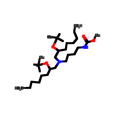 CC(C)(C)OC(=O)NCCCCN(CC(CCCCCC(=O)O)O[Si](C)(C)C(C)(C)C)CC(CCCCCC(=O)O)O[Si](C)(C)C(C)(C)C